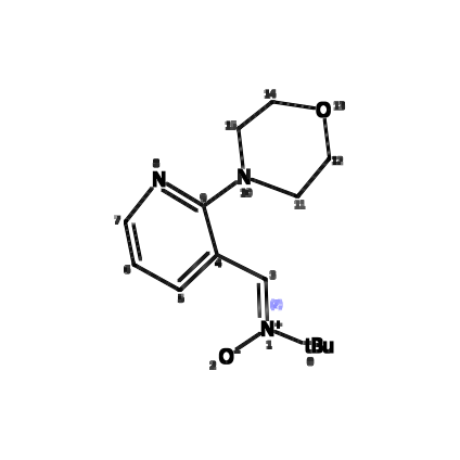 CC(C)(C)/[N+]([O-])=C/c1cccnc1N1CCOCC1